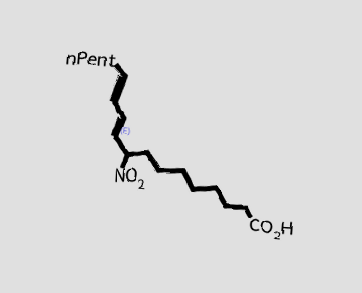 CCCCCC=C/C=C/C(CCCCCCCC(=O)O)[N+](=O)[O-]